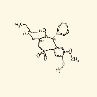 CCCC[C@@]1(CC)CS(=O)(=O)c2cc(OC)c(OC)cc2[C@@H](c2ccccc2)N1O